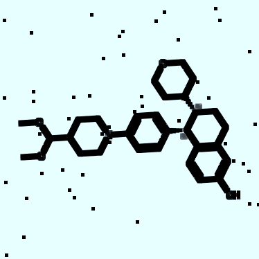 COC(OC)C1CCN(c2ccc([C@H]3c4ccc(O)cc4CC[C@H]3C3CCOCC3)cc2)CC1